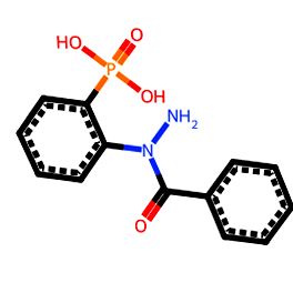 NN(C(=O)c1ccccc1)c1ccccc1P(=O)(O)O